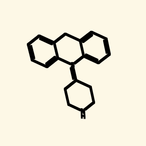 c1ccc2c(c1)Cc1ccccc1S2=C1CCNCC1